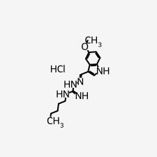 CCCCCNC(=N)N/N=C/c1c[nH]c2ccc(OC)cc12.Cl